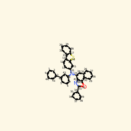 c1ccc(-c2cccc(N(c3ccc4c(c3)sc3ccccc34)c3cc4ccccc4c4oc(-c5ccccc5)nc34)c2)cc1